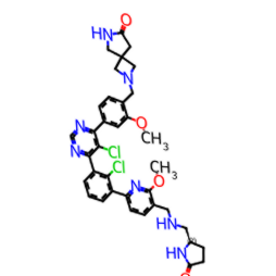 COc1cc(-c2ncnc(-c3cccc(-c4ccc(CNC[C@H]5CCC(=O)N5)c(OC)n4)c3Cl)c2Cl)ccc1CN1CC2(CNC(=O)C2)C1